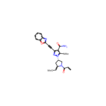 C=CC(=O)N1C[C@@H](n2nc(C#Cc3nc4ccccc4o3)c(C(N)=O)c2NC)C/C1=C\OC